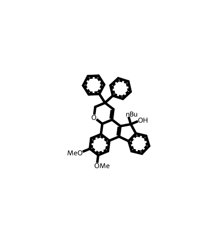 CCCCC1(O)C2=C(c3cc(OC)c(OC)cc3C3OCC(c4ccccc4)(c4ccccc4)C=C23)c2ccccc21